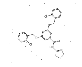 O=C(NC1=NCCS1)c1cc(OCc2ccccc2Cl)cc(OCc2ccccc2Cl)c1